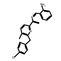 C=C(/N=C\c1ccccc1N)c1ccc(C)c(Cc2ccc(Cl)cc2)n1